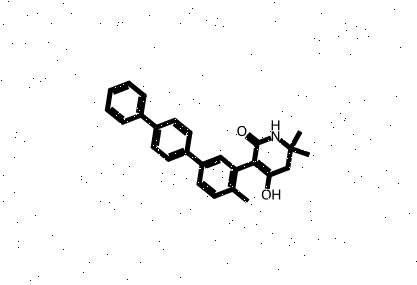 Cc1ccc(-c2ccc(-c3ccccc3)cc2)cc1C1=C(O)CC(C)(C)NC1=O